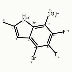 Cc1cc2c(Br)c(F)c(F)c(C(=O)O)c2[nH]1